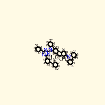 CC1(C)c2cc(-n3c4ccccc4c4ccccc43)ccc2-c2cc3c4ccccc4n(-c4nc(-c5ccccc5)nc(-c5cccc(-c6ccccc6)c5)n4)c3cc21